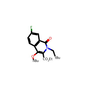 CCCCOc1c(C(=O)OCC)n(CC(C)(C)C)c(=O)c2cc(F)ccc12